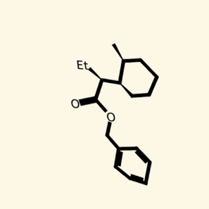 CC[C@H](C(=O)OCc1ccccc1)[C@@H]1CCCC[C@@H]1C